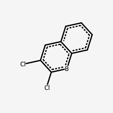 Clc1bc2ccccc2cc1Cl